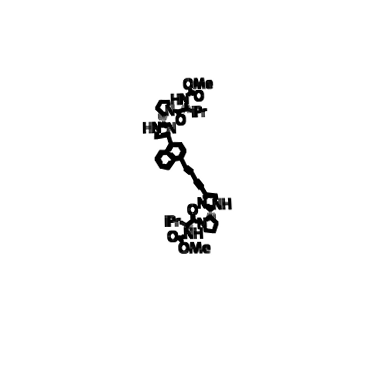 COC(=O)N[C@H](C(=O)N1CCC[C@H]1c1nc(C#CC#Cc2ccc(-c3c[nH]c([C@@H]4CCCN4C(=O)[C@@H](NC(=O)OC)C(C)C)n3)c3ccccc23)c[nH]1)C(C)C